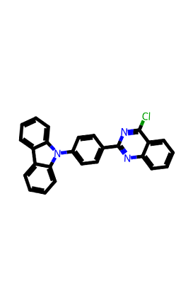 Clc1nc(-c2ccc(-n3c4ccccc4c4ccccc43)cc2)nc2ccccc12